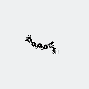 OC1CC1CCN(CC1CO1)c1ccc(Oc2cccc(Oc3ccc(N(CC4CO4)CC4CO4)cc3)c2)cc1